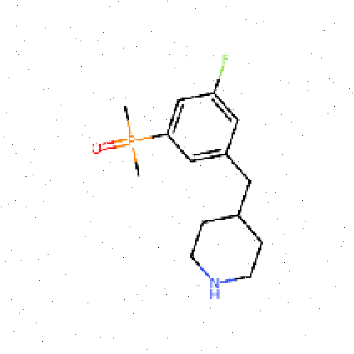 CP(C)(=O)c1cc(F)cc(CC2CCNCC2)c1